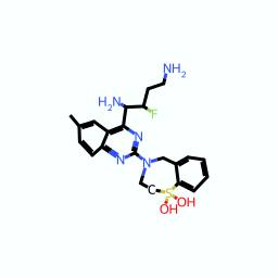 Cc1ccc2nc(N3CCS(O)(O)c4ccccc4C3)nc(C(N)C(F)CCN)c2c1